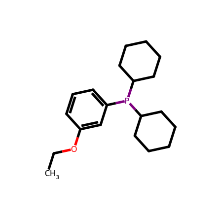 CCOc1cccc(P(C2CCCCC2)C2CCCCC2)c1